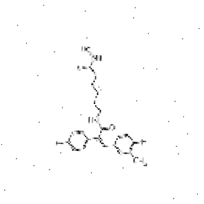 Cc1cc(C=C(C(=O)NCCCCCC(=O)NO)c2ccc(F)cc2)ccc1F